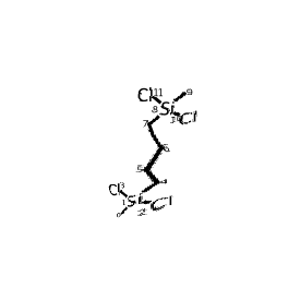 C[Si](Cl)(Cl)CCCC[Si](C)(Cl)Cl